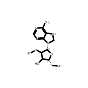 CCCOC1C(O)[C@@H](CO)O[C@H]1N1CNc2c(N)ncnc21